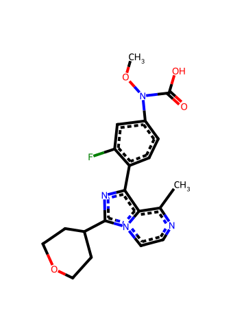 CON(C(=O)O)c1ccc(-c2nc(C3CCOCC3)n3ccnc(C)c23)c(F)c1